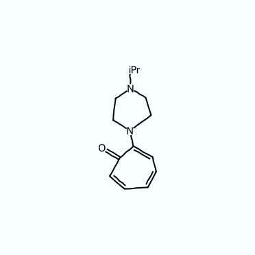 CC(C)N1CCN(c2cccccc2=O)CC1